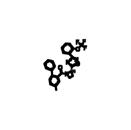 Cc1ccc(-c2ccccc2)c(C(=O)N2CC[C@H]2c2nc(-c3ccccc3OC(F)(F)F)no2)c1